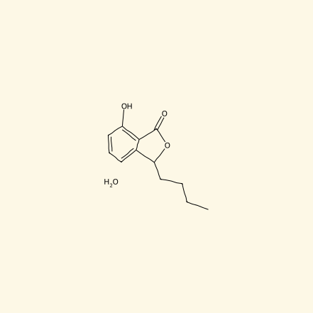 CCCCC1OC(=O)c2c(O)cccc21.O